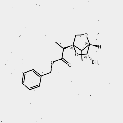 B[C@@H]1O[C@]2(C(C)C(=O)OCc3ccccc3)CO[C@H]1C2C